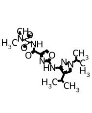 CC(C)c1cn(C(C)C)nc1Nc1nc(C(=O)NS(=O)(=O)N(C)C)co1